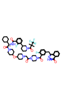 CC(C)(C(=O)N1CCCC(c2cccc(C(=O)N[C@@H](C(=O)N3CCC(OC4CCN(CC(=O)N5CCN(C(=O)c6cc(Cc7n[nH]c(=O)c8ccccc78)ccc6F)CC5)CC4)CC3)C3CCCCC3)c2F)C1)C(F)(F)F